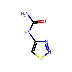 NC(=O)Nc1csnn1